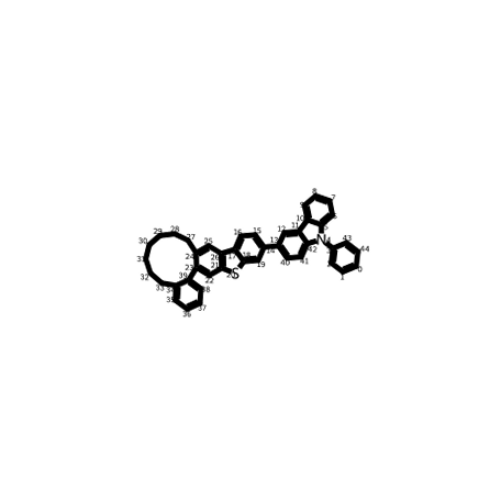 c1ccc(-n2c3ccccc3c3cc(-c4ccc5c(c4)sc4cc6c(cc45)CCCCCCCc4ccccc4-6)ccc32)cc1